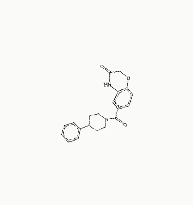 O=C1COc2ccc(C(=O)N3CCC(c4ccccc4)CC3)cc2N1